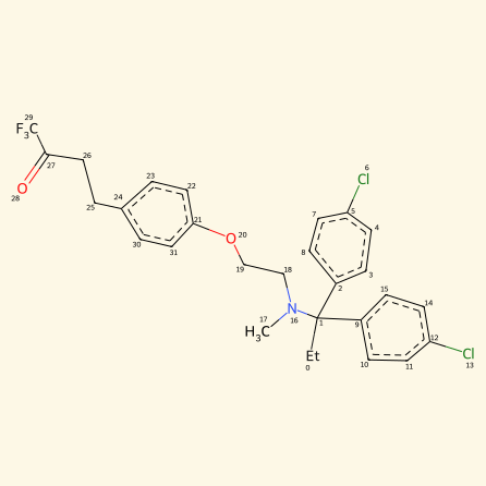 CCC(c1ccc(Cl)cc1)(c1ccc(Cl)cc1)N(C)CCOc1ccc(CCC(=O)C(F)(F)F)cc1